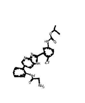 CC(C)OC(=O)Nc1ccc(Cl)c(-c2nc3ncc(-c4ccccc4NC(=O)CN)cc3[nH]2)c1